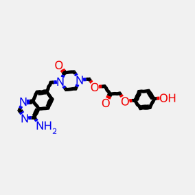 Nc1ncnc2cc(CN3CCN(COCC(=O)COc4ccc(O)cc4)CC3=O)ccc12